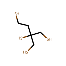 SCCC(S)(CS)CS